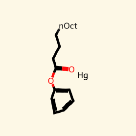 CCCCCCCCCCCC(=O)Oc1ccccc1.[Hg]